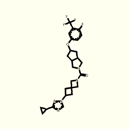 O=C(N1CC2CC(Oc3ccc(F)c(C(F)(F)F)c3)CC2C1)N1CC2(CC(n3cnc(C4CC4)n3)C2)C1